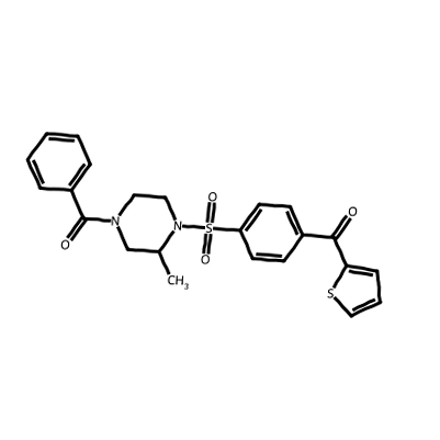 CC1CN(C(=O)c2ccccc2)CCN1S(=O)(=O)c1ccc(C(=O)c2cccs2)cc1